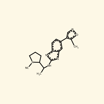 Cc1oncc1-c1ccc2nc(NC(C)C3CCCN3C#N)sc2c1